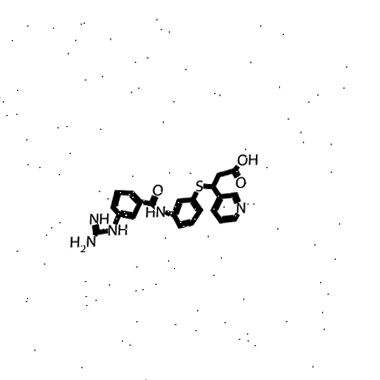 N=C(N)Nc1cccc(C(=O)Nc2cccc(SC(CC(=O)O)c3cccnc3)c2)c1